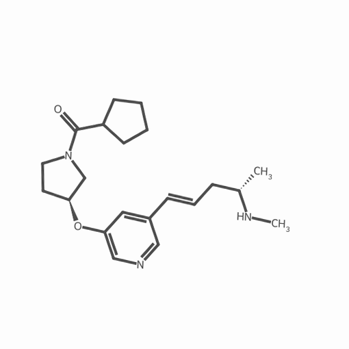 CN[C@@H](C)CC=Cc1cncc(O[C@H]2CCN(C(=O)C3CCCC3)C2)c1